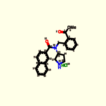 COC(=O)c1ccccc1CN(C(=O)c1ccc2ccccc2c1)[C@@H]1CCNC1.Cl